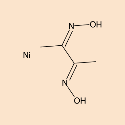 CC(=NO)C(C)=NO.[Ni]